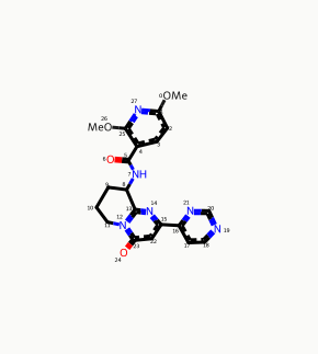 COc1ccc(C(=O)NC2CCCn3c2nc(-c2ccncn2)cc3=O)c(OC)n1